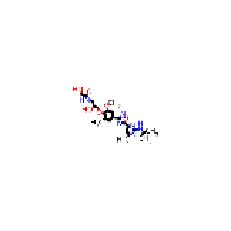 COc1cc(-c2noc(-c3cc(C)nc(NC(C)C)n3)n2)cc(C)c1OCC(O)CNC(=O)CO